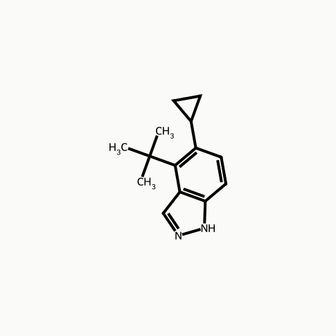 CC(C)(C)c1c(C2CC2)ccc2[nH]ncc12